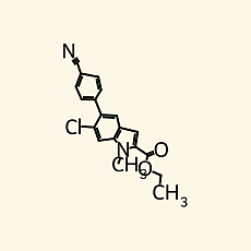 CCOC(=O)c1cc2cc(-c3ccc(C#N)cc3)c(Cl)cc2n1C